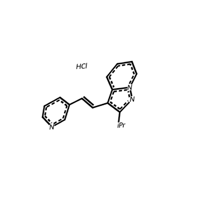 CC(C)c1nn2ccccc2c1C=Cc1cccnc1.Cl